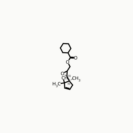 CC1(C)C=CC[C@]1(C)[C@@H]1OC1COC(=O)C1CCCCC1